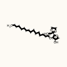 CCCCCCCCCCCCCCCCO[C@@H]1[C@@H](O)CO[C@@H]1C1(CO)OCCO1